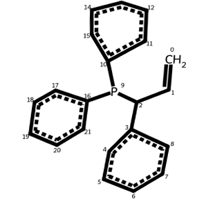 C=CC(c1ccccc1)P(c1ccccc1)c1ccccc1